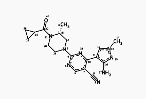 C[C@@H]1CN(c2ncc(C#N)c(-c3cn(C)nc3N)n2)CCN1C(=O)C1CC1